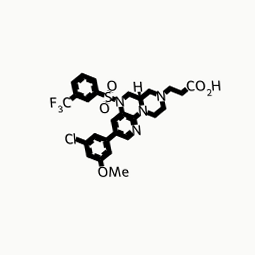 COc1cc(Cl)cc(-c2cnc3c(c2)N(S(=O)(=O)c2cccc(C(F)(F)F)c2)C[C@@H]2CN(CCC(=O)O)CCN32)c1